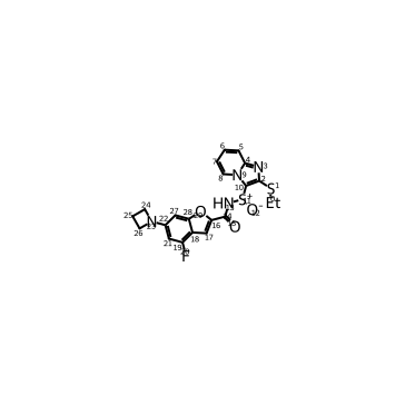 CCSc1nc2ccccn2c1[S+]([O-])NC(=O)c1cc2c(F)cc(N3CCC3)cc2o1